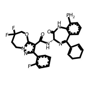 O=C(N[C@H]1N=C(C2=CCCC=C2)c2cccc(P)c2NC1=O)c1c(-c2ccccc2F)nn2c1OCC(F)(F)CC2